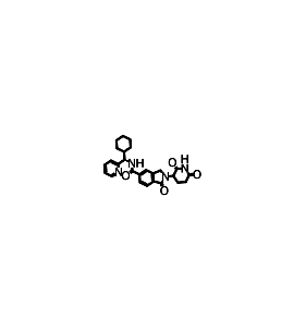 O=C1CCC(N2Cc3cc(C(=O)N[C@@H](c4ccccn4)C4CCCCC4)ccc3C2=O)C(=O)N1